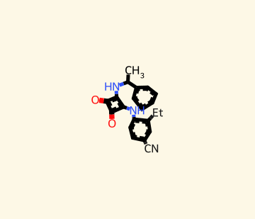 CCc1cc(C#N)ccc1Nc1c(NC(C)c2ccccc2)c(=O)c1=O